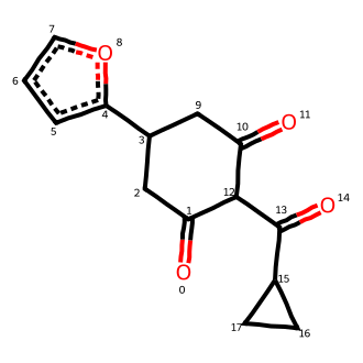 O=C1CC(c2ccco2)CC(=O)C1C(=O)C1CC1